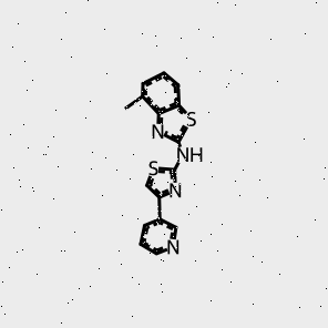 Cc1cccc2sc(Nc3nc(-c4cccnc4)cs3)nc12